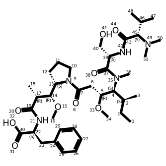 CC[C@H](C)[C@@H]([C@@H](CC(=O)N1CCC[C@H]1[C@H](OC)[C@@H](C)C(=O)N[C@@H](Cc1ccccc1)C(=O)O)OC)N(C)C(=O)[C@H](CO)NC(=O)[C@H](C(C)C)N(C)C